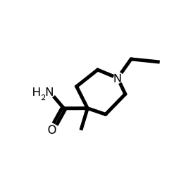 CCN1CCC(C)(C(N)=O)CC1